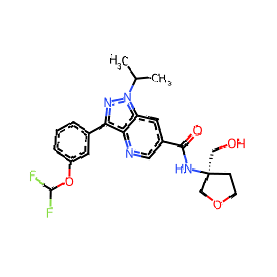 CC(C)n1nc(-c2cccc(OC(F)F)c2)c2ncc(C(=O)N[C@@]3(CO)CCOC3)cc21